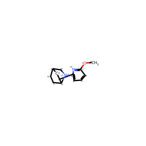 COc1cccc(C2CC3CCC2NC3)n1